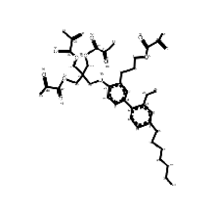 C=C(C)C(=O)OCCCc1cc(-c2ccc(CCCCCCC)cc2CC)ccc1OCC(COC(=O)C(=C)C)(COC(=O)C(C)=O)COC(=O)C(C)=O